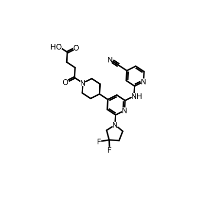 N#Cc1ccnc(Nc2cc(C3CCN(C(=O)CCC(=O)O)CC3)cc(N3CCC(F)(F)C3)n2)c1